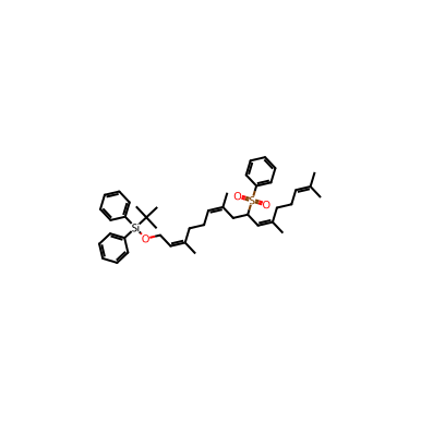 CC(C)=CCCC(C)=CC(CC(C)=CCCC(C)=CCO[Si](c1ccccc1)(c1ccccc1)C(C)(C)C)S(=O)(=O)c1ccccc1